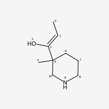 CC=C(O)C1(C)CCCNC1